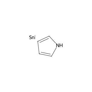 [Sn].c1cc[nH]c1